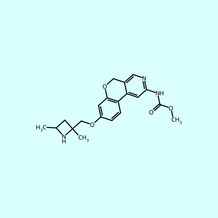 COC(=O)Nc1cc2c(cn1)COc1cc(OCC3(C)CC(C)N3)ccc1-2